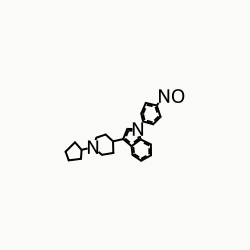 O=Nc1ccc(-n2cc(C3CCN(C4CCCC4)CC3)c3ccccc32)cc1